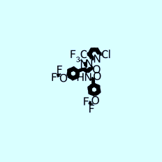 Cn1c(-c2ccc(OC(F)F)cc2)c(NC(=O)c2ccc(OC(F)F)cc2)c(=O)n1-c1nc(Cl)ccc1C(F)(F)F